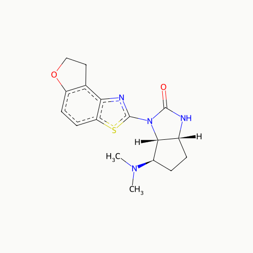 CN(C)[C@@H]1CC[C@H]2NC(=O)N(c3nc4c5c(ccc4s3)OCC5)[C@@H]12